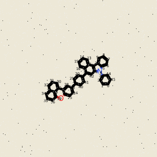 c1ccc(-n2c3ccccc3c3c4ccccc4c(-c4ccc(-c5ccc6c(c5)-c5cccc7cccc(c57)O6)cc4)cc32)cc1